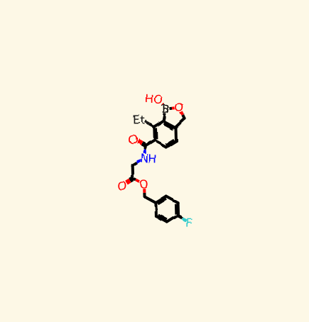 CCc1c(C(=O)NCC(=O)OCc2ccc(F)cc2)ccc2c1B(O)OC2